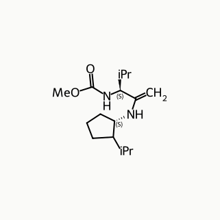 C=C(N[C@H]1CCCC1C(C)C)[C@@H](NC(=O)OC)C(C)C